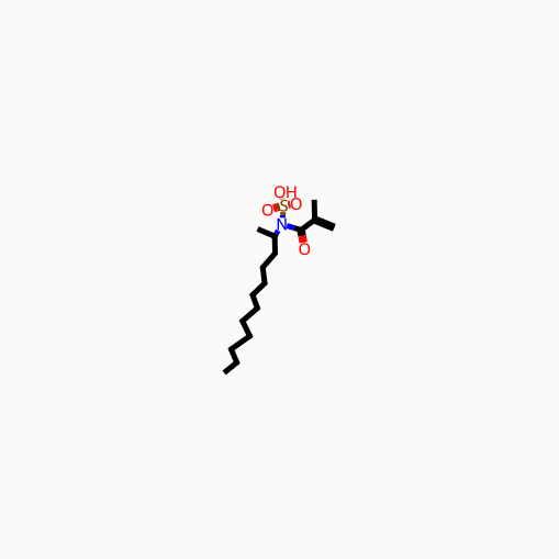 C=C(C)C(=O)N(C(C)CCCCCCCCCC)S(=O)(=O)O